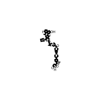 CCc1c(F)ccc2cc(O)cc(-c3ncc4c(N5CC6CCC(C5)N6)nc(OCC5(CN6CCC(C(=O)N7CCC8(CC7)CC(N7CCC(c9ccc%10c(C%11CCC(=O)NC%11=O)nn(C)c%10c9)CC7)C8)CC6)CC5)nc4c3F)c12